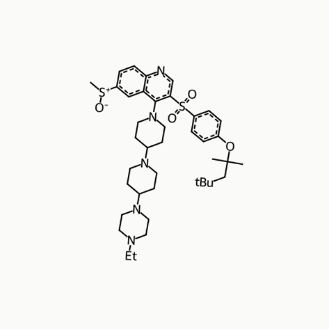 CCN1CCN(C2CCN(C3CCN(c4c(S(=O)(=O)c5ccc(OC(C)(C)CC(C)(C)C)cc5)cnc5ccc([S+](C)[O-])cc45)CC3)CC2)CC1